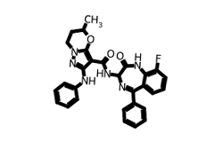 CC1CCn2nc(Nc3ccccc3)c(C(=O)NC3N=C(c4ccccc4)c4cccc(F)c4NC3=O)c2O1